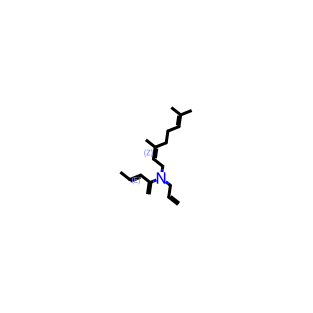 C=CCN(C/C=C(/C)CCC=C(C)C)C(=C)/C=C/C